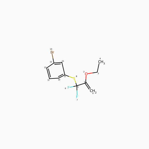 C=C(OCC)C(F)(F)Sc1cccc(Br)c1